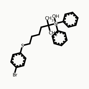 CC(C)(CCCCSc1ccc(Br)cc1)[Si](O)(c1ccccc1)c1ccccc1